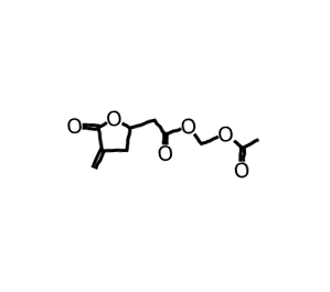 C=C1CC(CC(=O)OCOC(C)=O)OC1=O